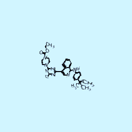 CCOC(=O)N1CCN(c2nc(Cl)nc(-c3cnc(Nc4ccc(C(C)(C)C)cc4)c4ccccc34)n2)CC1